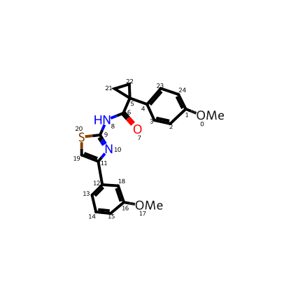 COc1ccc(C2(C(=O)Nc3nc(-c4cccc(OC)c4)cs3)CC2)cc1